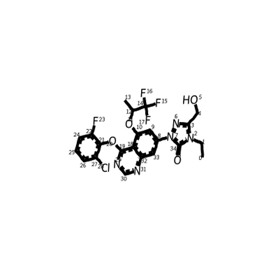 CCn1c(CO)nn(-c2cc(OC(C)C(F)(F)F)c3c(Oc4c(F)cccc4Cl)ncnc3c2)c1=O